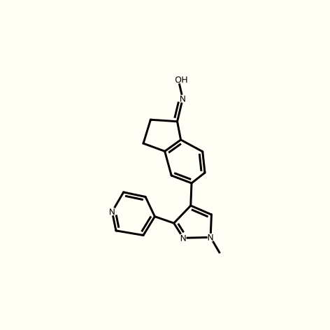 Cn1cc(-c2ccc3c(c2)CCC3=NO)c(-c2ccncc2)n1